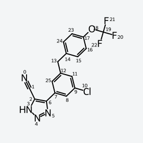 N#Cc1[nH]nnc1-c1cc(Cl)cc(Cc2ccc(OC(F)(F)F)cc2)c1